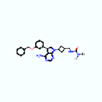 CCN(CC)C(=O)NCC1CC(n2cc(-c3cccc(OCc4ccccc4)c3)c3c(N)ncnc32)C1